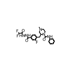 CN1CCN(C(=O)Nc2ccccc2)C(Cc2ccc(C(=O)NNC(=O)C(F)F)cc2F)C1